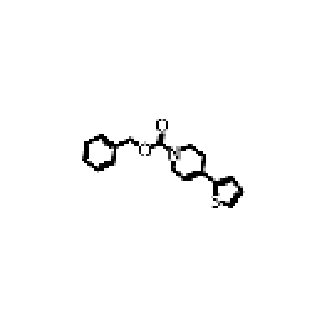 O=C(OCc1ccccc1)N1CC=C(c2cccs2)CC1